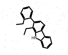 CCc1ccccc1-c1ccc2c([nH]c3ccccc32)c1CC